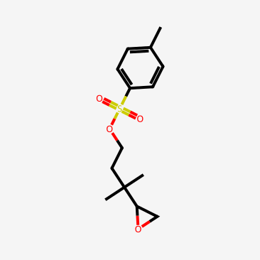 Cc1ccc(S(=O)(=O)OCCC(C)(C)C2CO2)cc1